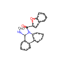 O=CNC1c2ccccc2-c2ccccc2N1C(=O)c1cc2ccccc2o1